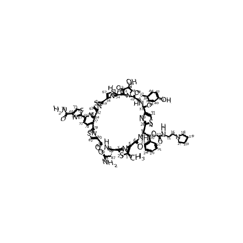 Cc1sc2nc1C(=O)N[C@@H]([C@H](OC(=O)NCCN1CCCC1)c1ccccc1)c1nc(cs1)C(=O)N[C@@H](Cc1ccc(O)cc1)C(=O)N1C[C@H](O)[C@H](C)[C@H]1c1nc(cs1)-c1nc(cs1)-c1nc(-c3nc(C(N)=O)cs3)ccc1-c1nc(cs1)C(=O)N[C@H]2CC(N)=O